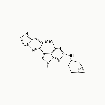 CNc1nc(N[C@H]2CC[C@]3(O)CC3C2)nc2[nH]cc(-c3ccc4nccn4n3)c12